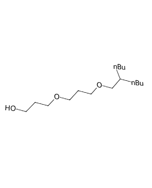 CCCCC(CCCC)COCCCOCCCO